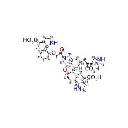 O=C(O)C(Cc1cccc(OCC(=O)N(CCOc2cccc(C[C@H](C(=O)O)[C@H]3CCNC3)c2)Cc2cccc(C[C@H](C(=O)O)[C@H]3CCNC3)c2)c1)[C@H]1CCNC1